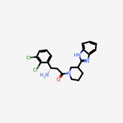 N[C@@H](CC(=O)N1CCCC(c2nc3ccccc3[nH]2)C1)c1cccc(Cl)c1Cl